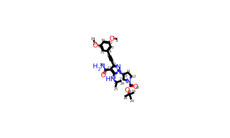 COc1cc(C#Cc2nn([C@H]3CCN(C(=O)OC(C)(C)C)C3)c(NC(C)C)c2C(N)=O)cc(OC)c1